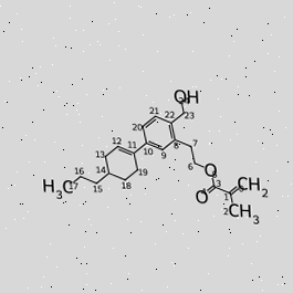 C=C(C)C(=O)OCCc1cc(C2=CCC(CCC)CC2)ccc1CO